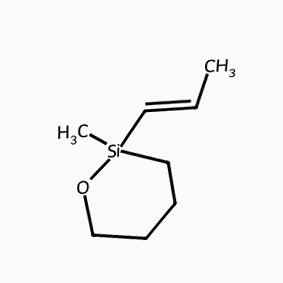 CC=C[Si]1(C)CCCCO1